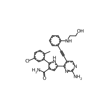 Cc1ccc(Cl)cc1-c1[nH]c(-c2nc(N)ncc2C#Cc2ccccc2NCCO)cc1C(N)=O